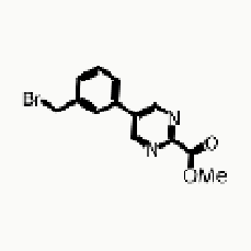 COC(=O)c1ncc(-c2cccc(CBr)c2)cn1